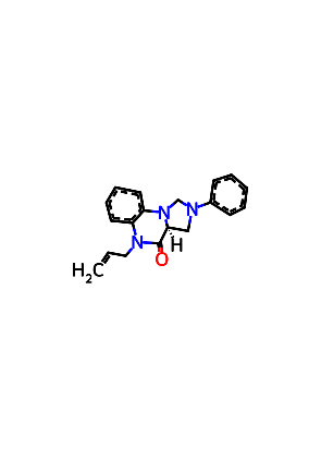 C=CCN1C(=O)[C@@H]2CN(c3ccccc3)CN2c2ccccc21